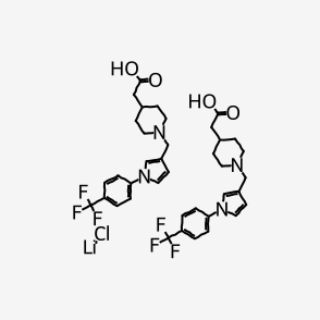 O=C(O)CC1CCN(Cc2ccn(-c3ccc(C(F)(F)F)cc3)c2)CC1.O=C(O)CC1CCN(Cc2ccn(-c3ccc(C(F)(F)F)cc3)c2)CC1.[Li][Cl]